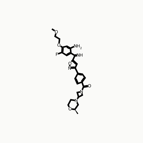 COCCOc1cc(N)c(C(=N)c2cc(-c3ccc(C(=O)N4CC(N5CCO[C@H](C)C5)C4)cc3)no2)cc1F